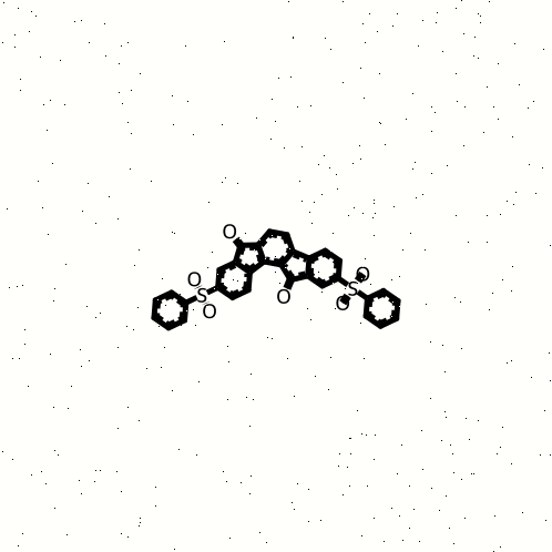 O=c1c2cc(S(=O)(=O)c3ccccc3)ccc2c2c1ccc1c3ccc(S(=O)(=O)c4ccccc4)cc3c(=O)c12